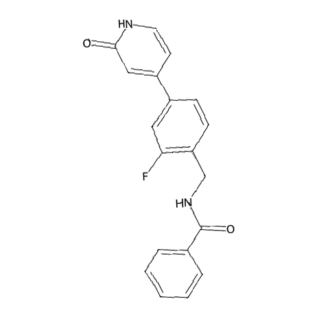 O=C(NCc1ccc(-c2cc[nH]c(=O)c2)cc1F)c1ccccc1